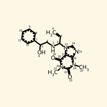 C=CC(NCC(O)c1ccccc1)n1cnc2c1c(=O)n(C)c(=O)n2C